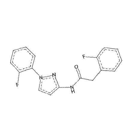 O=C(Cc1ccccc1F)Nc1ccn(-c2ccccc2F)n1